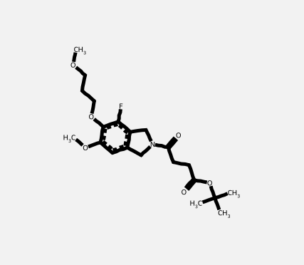 COCCCOc1c(OC)cc2c(c1F)CN(C(=O)CCC(=O)OC(C)(C)C)C2